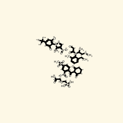 CCc1cccc(C)c1N(C(=O)CCl)C(C)COC.CS(=O)(=O)c1ccc(C(=O)C2C(=O)CCCC2=O)c([N+](=O)[O-])c1.Nc1c([N+](=O)[O-])cnn1-c1c(Cl)cc(C(F)(F)F)cc1Cl.O=C(O)CNCP(=O)(O)O